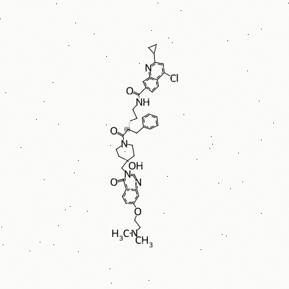 CN(C)CCOc1ccc2c(=O)n(CC3(O)CCN(C(=O)[C@H](CCCNC(=O)c4ccc5c(Cl)cc(C6CC6)nc5c4)Cc4ccccc4)CC3)cnc2c1